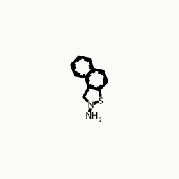 NN1Cc2c(ccc3ccccc23)S1